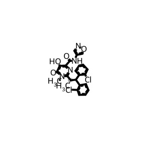 C[C@H](c1nc(C(=O)Nc2cnoc2)c(O)c(=O)n1C)C(c1ccccc1Cl)c1ccccc1Cl